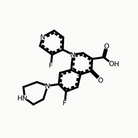 O=C(O)c1cn(-c2ccncc2F)c2cc(N3CCNCC3)c(F)cc2c1=O